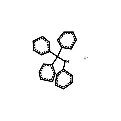 B(c1ccccc1)C(c1ccccc1)(c1ccccc1)c1ccccc1.[H+]